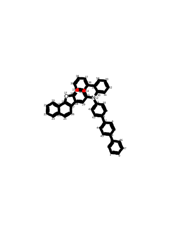 c1ccc(-c2ccc(-c3ccc(N(c4cnc5oc6c7ccccc7ccc6c5c4)c4ccccc4-c4ccccc4)cc3)cc2)cc1